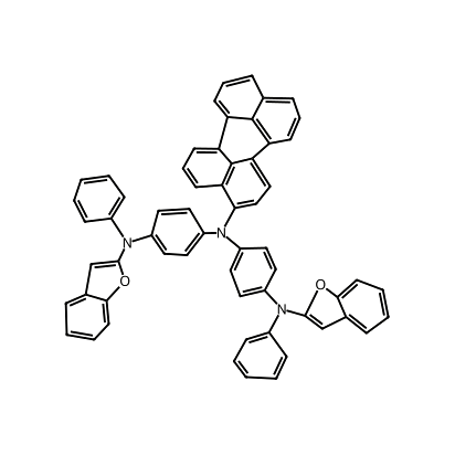 c1ccc(N(c2ccc(N(c3ccc(N(c4ccccc4)c4cc5ccccc5o4)cc3)c3ccc4c5cccc6cccc(c7cccc3c74)c65)cc2)c2cc3ccccc3o2)cc1